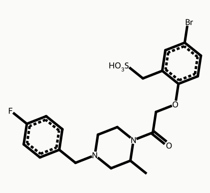 CC1CN(Cc2ccc(F)cc2)CCN1C(=O)COc1ccc(Br)cc1CS(=O)(=O)O